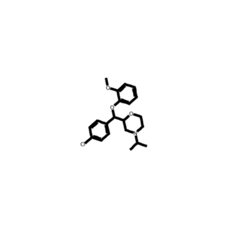 COc1ccccc1OC(c1ccc(Cl)cc1)C1CN(C(C)C)CCO1